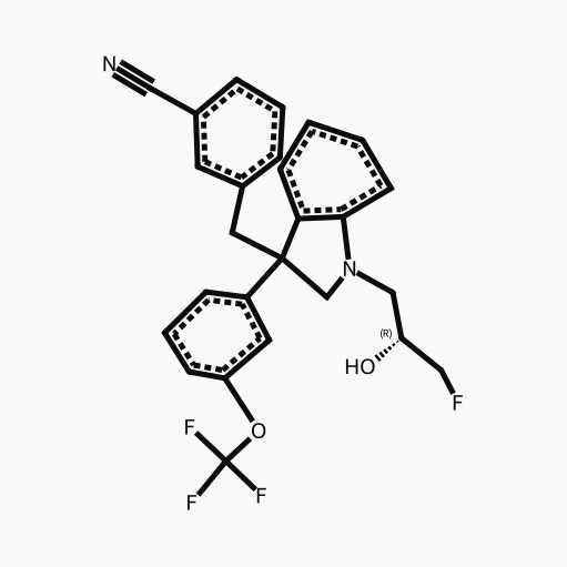 N#Cc1cccc(CC2(c3cccc(OC(F)(F)F)c3)CN(C[C@@H](O)CF)c3ccccc32)c1